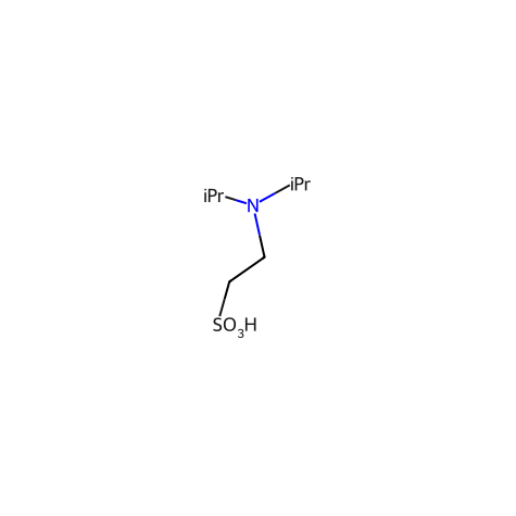 CC(C)N(CCS(=O)(=O)O)C(C)C